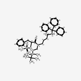 CC(C)(C)[Si](C)(C)OCN(CCCC(=O)NC(c1ccccc1)(c1ccccc1)c1ccccc1)C(=O)C(Cc1ccccc1)OS(C)(=O)=O